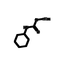 CCCCCC[N]C(=O)NC1CCCCC1